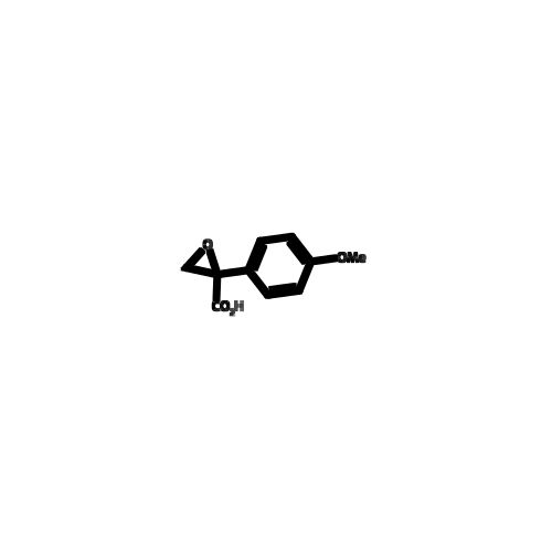 COc1ccc(C2(C(=O)O)CO2)cc1